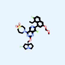 CCc1c(F)ccc2cc(OCOC)cc(-c3ncc4c(N5CCCS(=O)(=O)CC5)nc(OC[C@@]56CCCN5C[C@H](F)C6)nc4c3F)c12